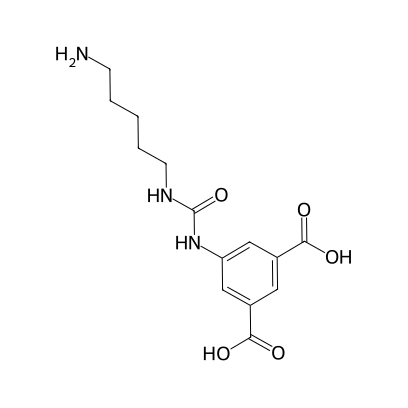 NCCCCCNC(=O)Nc1cc(C(=O)O)cc(C(=O)O)c1